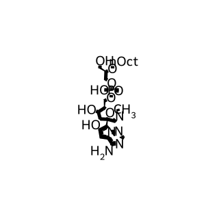 CCCCCCCCO[C@H](CO)COP(=O)(O)OC[C@H]1O[C@@](/C=N\C)(c2ccc3c(N)ncnn23)C(O)C1O